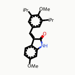 COc1ccc2c(c1)NC(=O)C2=Cc1cc(C(C)C)c(OC)c(C(C)C)c1